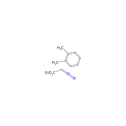 CCOC(=O)C=[N+]=[N-].Cc1ccccc1C